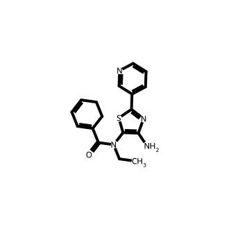 CCN(C(=O)C1=CC=CCC1)c1sc(-c2cccnc2)nc1N